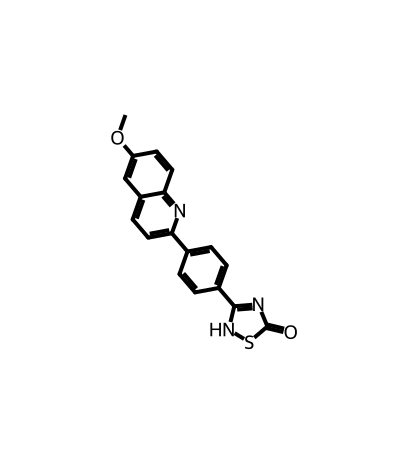 COc1ccc2nc(-c3ccc(-c4nc(=O)s[nH]4)cc3)ccc2c1